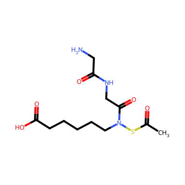 CC(=O)SN(CCCCCC(=O)O)C(=O)CNC(=O)CN